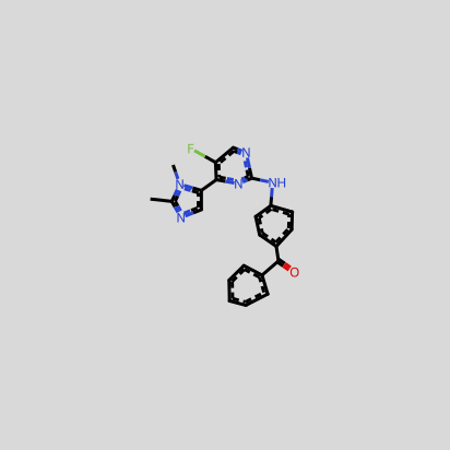 Cc1ncc(-c2nc(Nc3ccc(C(=O)c4ccccc4)cc3)ncc2F)n1C